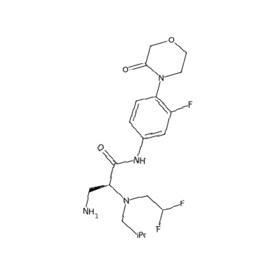 CC(C)CN(CC(F)F)[C@@H](CN)C(=O)Nc1ccc(N2CCOCC2=O)c(F)c1